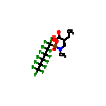 CCC(=CN(C)S(=O)(=O)C(F)(F)C(F)(F)C(F)(F)C(F)(F)C(F)(F)C(F)(F)F)C(=O)O